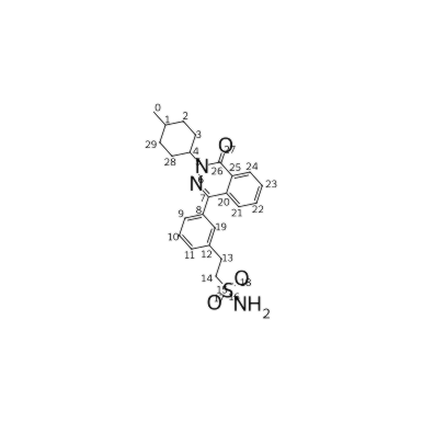 CC1CCC(n2nc(-c3cccc(CCS(N)(=O)=O)c3)c3ccccc3c2=O)CC1